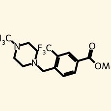 COC(=O)c1ccc(CN2CCN(C)CC2)c(C(F)(F)F)c1